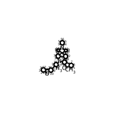 CC1(C)c2ccccc2-c2ccc(N(c3ccc(-c4ccc5oc6ccccc6c5c4)cc3)c3cccc4c3-c3ccccc3C43c4ccccc4N(c4ccccc4)c4ccccc43)cc21